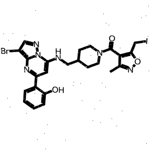 Cc1noc(CI)c1C(=O)N1CCC(CNc2cc(-c3ccccc3O)nc3c(Br)cnn23)CC1